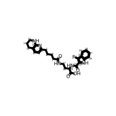 O=C(CCCCc1ccc2c(n1)NCCC2)NCCC(NC(=O)c1[nH]c2ccccc2c1F)C(=O)O